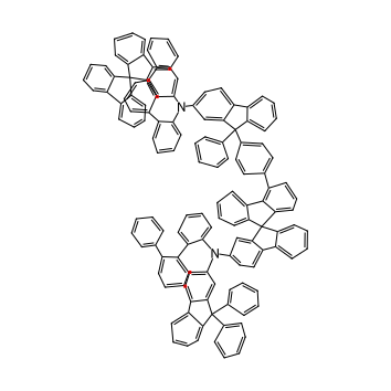 c1ccc(-c2cccc(-c3ccccc3N(c3ccc4c(c3)C(c3ccccc3)(c3ccc(-c5cccc6c5-c5ccccc5C65c6ccccc6-c6ccc(N(c7ccc8c(c7)C(c7ccccc7)(c7ccccc7)c7ccccc7-8)c7ccccc7-c7ccccc7-c7ccccc7)cc65)cc3)c3ccccc3-4)c3ccc4c(c3)C3(c5ccccc5-c5ccccc53)c3ccccc3-4)c2)cc1